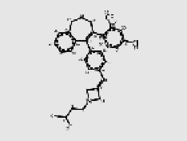 FC(F)CCN1CC(=Cc2ccc(C3=C(c4ncc(Cl)cc4C(F)(F)F)CCCc4ccccc43)cc2)C1